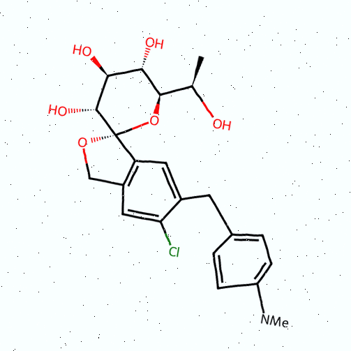 CNc1ccc(Cc2cc3c(cc2Cl)CO[C@]32O[C@H]([C@@H](C)O)[C@@H](O)[C@H](O)[C@H]2O)cc1